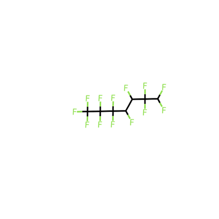 FC(F)C(F)(F)C(F)C(F)C(F)(F)C(F)(F)C(F)(F)F